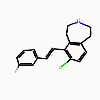 Fc1cccc(/C=C/c2c(Cl)ccc3c2CCNCC3)c1